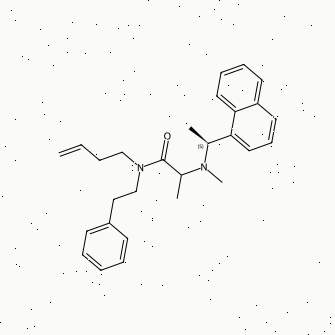 C=CCCN(CCc1ccccc1)C(=O)C(C)N(C)[C@@H](C)c1cccc2ccccc12